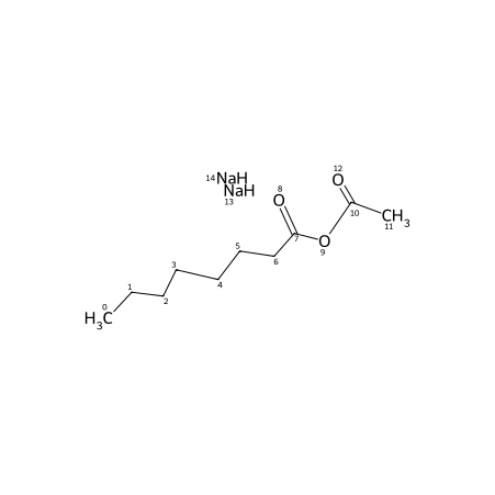 CCCCCCCC(=O)OC(C)=O.[NaH].[NaH]